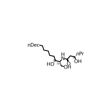 CCCCCCCCCCCCCCC[C@@H](O)[C@H](CO)NC(=O)C[C@@H](O)CCC